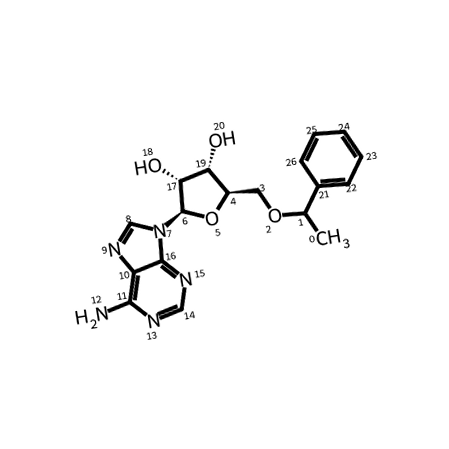 CC(OC[C@H]1O[C@@H](n2cnc3c(N)ncnc32)[C@H](O)[C@@H]1O)c1ccccc1